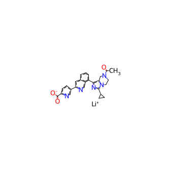 CC(=O)N1CCn2c(C3CC3)nc(-c3cccc4cc(-c5ccc(C(=O)[O-])nc5)ncc34)c2C1.[Li+]